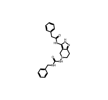 O=C(Cc1ccccc1)Nc1[nH]nc2c1CN(NC(=O)NCc1ccccc1)CC2